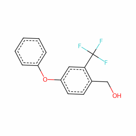 OCc1ccc(Oc2ccccc2)cc1C(F)(F)F